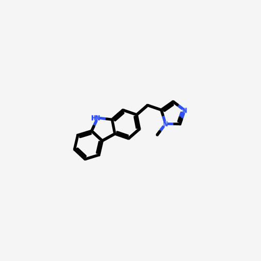 Cn1cncc1Cc1ccc2c(c1)[nH]c1ccccc12